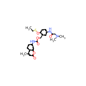 CCSOc1ccc(NC(=O)CN(C)C)cc1COC(=O)Nc1ccc2c(C)cc(=O)oc2c1